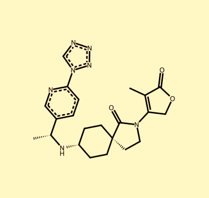 CC1=C(N2CC[C@]3(CC[C@@H](N[C@H](C)c4ccc(-n5cnnn5)nc4)CC3)C2=O)COC1=O